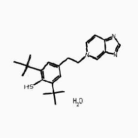 CC(C)(C)c1cc(CCn2ccc3ncnc-3c2)cc(C(C)(C)C)c1S.O